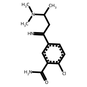 CC(CC(=N)c1ccc(Cl)c(C(N)=O)c1)N(C)C